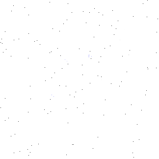 CC(NC(=O)OC(C)(C)C)c1cc2nc(-c3ccccc3)ccc2cn1